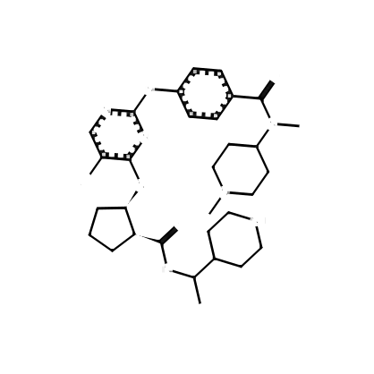 CC(NC(=O)[C@H]1CCC[C@H]1Nc1nc(Nc2ccc(C(=O)N(C)C3CCN(C)CC3)cc2)ncc1C(F)(F)F)C1CCNCC1